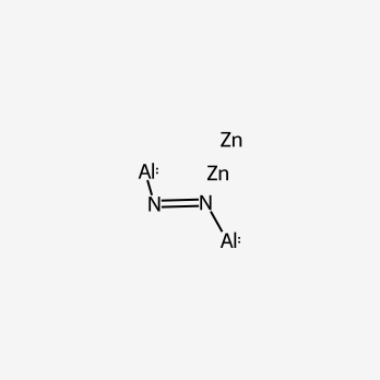 [Al][N]=[N][Al].[Zn].[Zn]